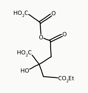 CCOC(=O)CC(O)(CC(=O)OC(=O)C(=O)O)C(=O)O